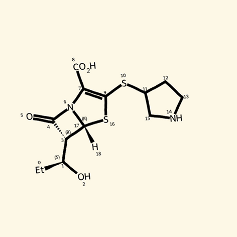 CC[C@H](O)[C@@H]1C(=O)N2C(C(=O)O)=C(SC3CCNC3)S[C@H]12